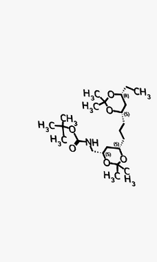 CC[C@@H]1C[C@H](CCC[C@H]2C[C@@H](CNC(=O)OC(C)(C)C)OC(C)(C)O2)OC(C)(C)O1